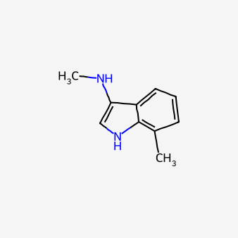 CNc1c[nH]c2c(C)cccc12